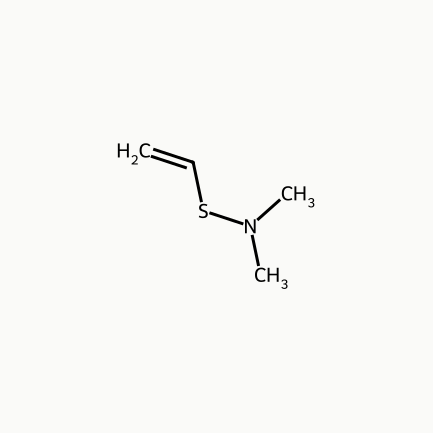 C=CSN(C)C